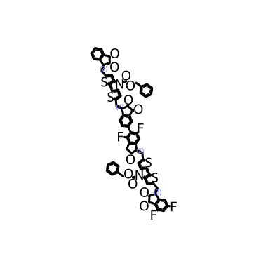 O=C1C(=O)c2ccccc2/C1=C/c1cc2c(s1)c1sc(/C=C3\C(=O)C(=O)c4cc(-c5c(F)cc6c(c5F)CC(=O)/C6=C\c5cc6c(s5)c5sc(/C=C7\C(=O)C(=O)c8c(F)cc(F)cc87)cc5n6C(=O)OCc5ccccc5)ccc43)cc1n2C(=O)OCc1ccccc1